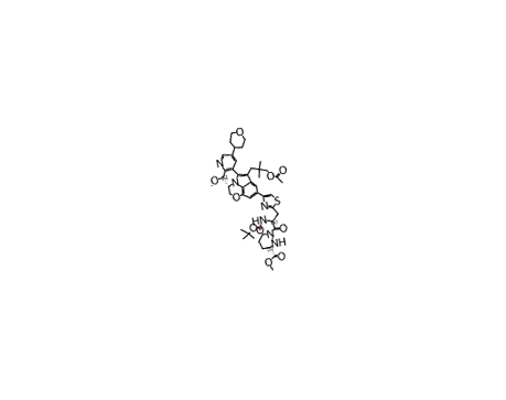 COC(=O)[C@@H]1CCCN(C(=O)[C@H](Cc2nc(-c3cc4c5c(c3)c(CC(C)(C)COC(C)=O)c(-c3cc(C6CCOCC6)cnc3[C@H](C)OC)n5CCO4)cs2)NC(=O)OC(C)(C)C)N1